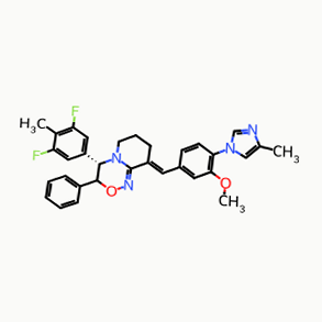 COc1cc(/C=C2\CCCN3C2=NOC(c2ccccc2)[C@@H]3c2cc(F)c(C)c(F)c2)ccc1-n1cnc(C)c1